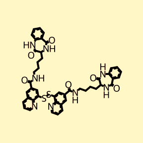 O=C(NCCCCC1NC(=O)c2ccccc2NC1=O)c1cc(SSc2cc(C(=O)NCCCCC3NC(=O)c4ccccc4NC3=O)cc3cccnc23)c2ncccc2c1